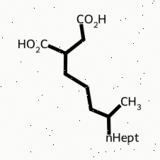 CCCCCCCC(C)CCCC(CC(=O)O)C(=O)O